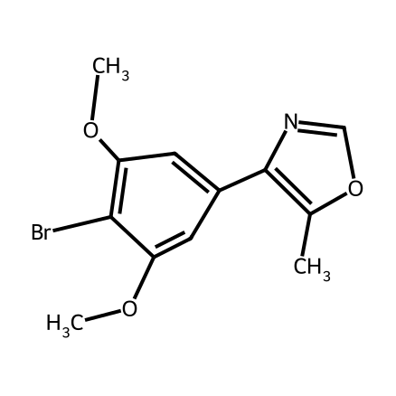 COc1cc(-c2ncoc2C)cc(OC)c1Br